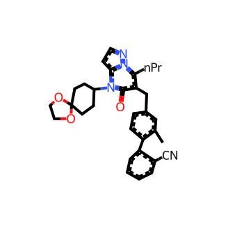 CCCc1c(Cc2ccc(-c3ccccc3C#N)c(C)c2)c(=O)n(C2CCC3(CC2)OCCO3)c2ccnn12